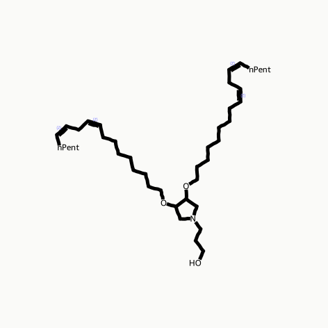 CCCCC/C=C\C/C=C\CCCCCCCCOC1CN(CCCO)CC1OCCCCCCCC/C=C\C/C=C\CCCCC